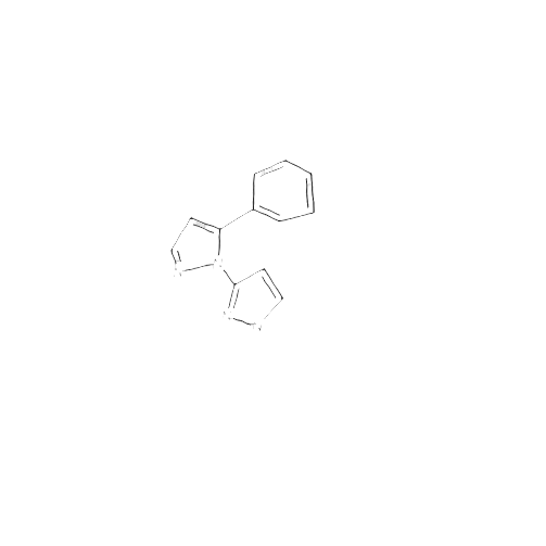 C1=CC(n2nccc2-c2ccccc2)=N[N]1